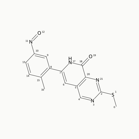 CSc1ncc2cc(-c3cc(N=O)ccc3C)[nH]c(=O)c2n1